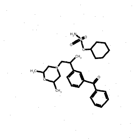 CC1CN(CC(C)c2cccc(C(=O)c3ccccc3)c2)CC(C)O1.NS(=O)(=O)OC1CCCCC1